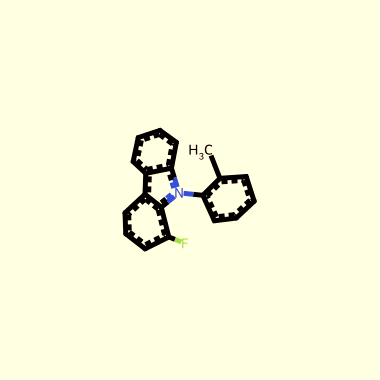 Cc1ccccc1-n1c2ccccc2c2cccc(F)c21